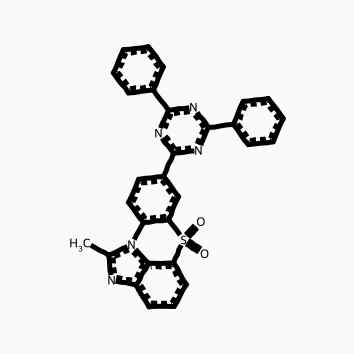 Cc1nc2cccc3c2n1-c1ccc(-c2nc(-c4ccccc4)nc(-c4ccccc4)n2)cc1S3(=O)=O